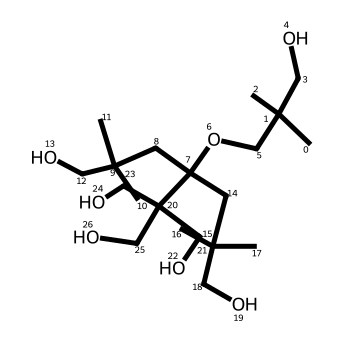 CC(C)(CO)COC(CC(C)(C)CO)(CC(C)(C)CO)C(CO)(CO)CO